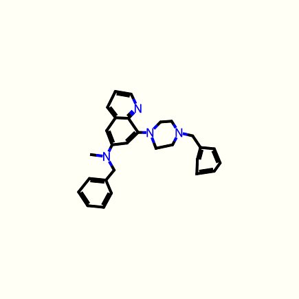 CN(Cc1ccccc1)c1cc(N2CCN(Cc3ccccc3)CC2)c2ncccc2c1